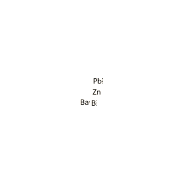 [B].[Ba].[Pb].[Zn]